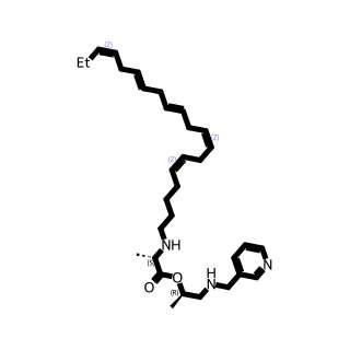 CC/C=C\CC=CCC=CC/C=C\C/C=C\CCCCN[C@@H](C)C(=O)O[C@H](C)CNCc1cccnc1